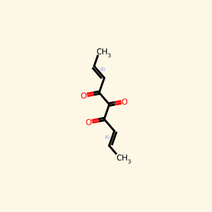 C/C=C/C(=O)C(=O)C(=O)/C=C/C